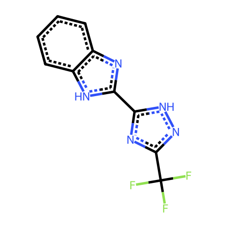 FC(F)(F)c1n[nH]c(-c2nc3ccccc3[nH]2)n1